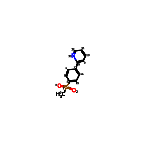 CS(=O)(=O)c1ccc(-c2ccccn2)cc1